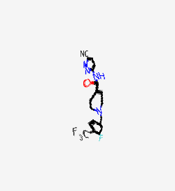 N#Cc1ccc(NC(=O)C2CCN(Cc3ccc(C(F)(F)F)c(F)c3)CC2)nn1